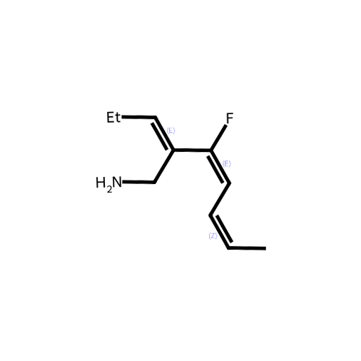 C\C=C/C=C(F)\C(=C\CC)CN